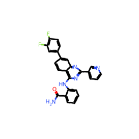 NC(=O)c1ccccc1Nc1nc(-c2cccnc2)nc2cc(-c3ccc(F)c(F)c3)ccc12